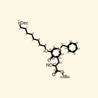 CCCCCCCCCCCCCCCCCCOc1cn(Cc2ccccc2)cc(CC(C#N)C(=O)OC(C)(C)C)c1=O